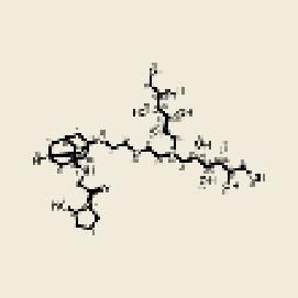 N#CC1CCCN1C(=O)CNC12CC3C[C@@H](C1)CC(OCCOCCN(C[C@H](O)[C@@H](O)[C@H](O)[C@H](O)CO)C[C@H](O)[C@@H](O)[C@H](O)[C@H](O)CO)(C3)C2